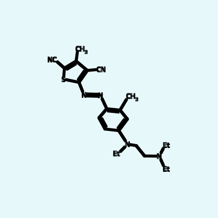 CCN(CC)CCN(CC)c1ccc(/N=N/c2sc(C#N)c(C)c2C#N)c(C)c1